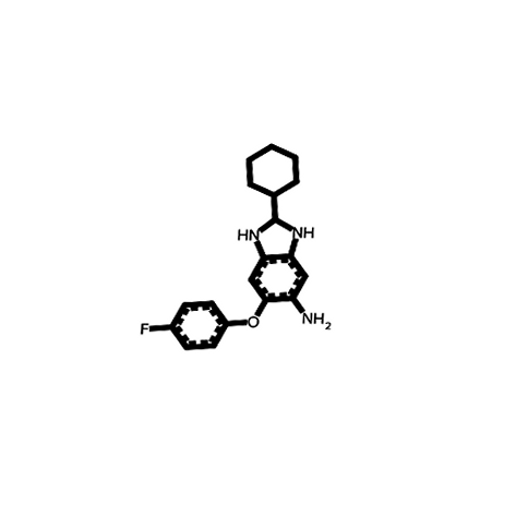 Nc1cc2c(cc1Oc1ccc(F)cc1)NC(C1CCCCC1)N2